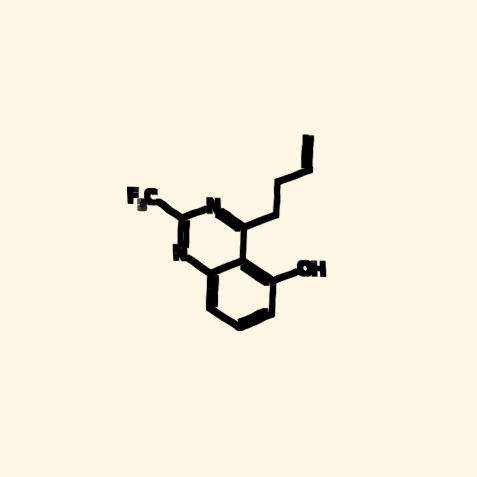 C=CCCc1nc(C(F)(F)F)nc2cccc(O)c12